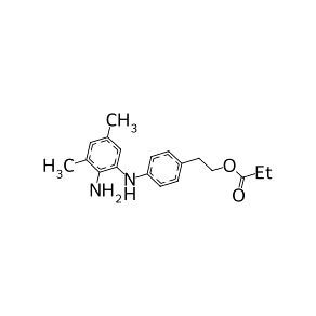 CCC(=O)OCCc1ccc(Nc2cc(C)cc(C)c2N)cc1